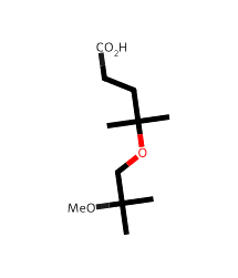 COC(C)(C)COC(C)(C)CCC(=O)O